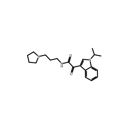 CC(C)n1cc(C(=O)C(=O)NCCCN2CCCC2)c2ccccc21